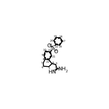 N=C(N)CC1CCCc2ccc(S(=O)(=O)c3ccccc3)cc21